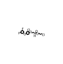 O=C(NCCOc1ccc(Oc2cc(F)cc(F)c2)cc1Cl)OCCCCl